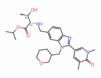 Cc1cc(-c2nc3ccc(CN[C@H](C(=O)OC(C)C)[C@@H](C)O)cc3n2CC2CCCOC2)cn(C)c1=O